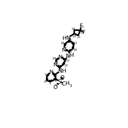 CS(=O)(=O)c1cccnc1Nc1cc(Nc2ccc(NC3CC(F)(F)C3)cn2)ncn1